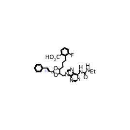 CCNC(=O)Nc1ncnc2c1ncn2CC1O[C@@H](/C=C/c2ccccc2)OC1CCCc1c(F)cccc1C(=O)O